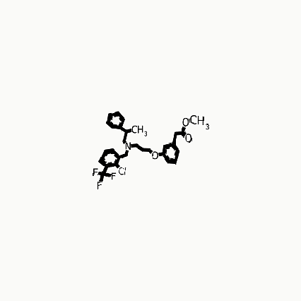 COC(=O)Cc1cccc(OCCCN(Cc2cccc(C(F)(F)F)c2Cl)CC(C)c2ccccc2)c1